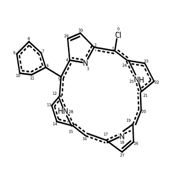 Clc1c2nc(c(-c3ccccc3)c3ccc(cc4nc(cc5ccc1[nH]5)C=C4)[nH]3)C=C2